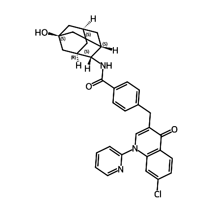 O=C(N[C@@H]1[C@@H]2C[C@@H]3C[C@H]1C[C@@](O)(C3)C2)c1ccc(Cc2cn(-c3ccccn3)c3cc(Cl)ccc3c2=O)cc1